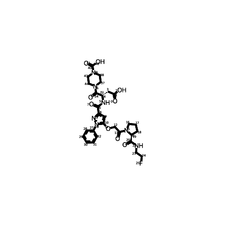 O=C(O)C[C@H](NC(=O)c1cc(OCC(=O)N2CCC[C@H]2C(=O)NCCF)n(-c2ccccc2)n1)C(=O)N1CCN(C(=O)O)CC1